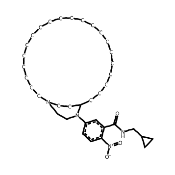 O=C(NCC1CC1)c1cc(N2CCN3CCCCCCCCCCCCCCCCCCCCCC2CC3)ccc1[N+](=O)[O-]